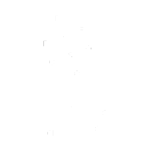 O=S(=O)(OCC(CCl)(CCl)CCl)C(F)(F)F